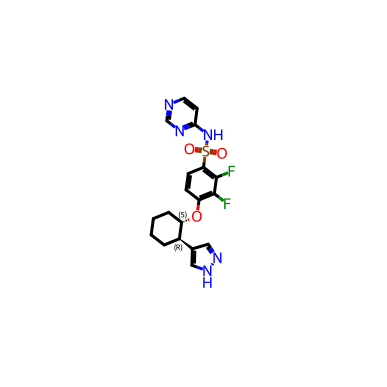 O=S(=O)(Nc1ccncn1)c1ccc(O[C@H]2CCCC[C@@H]2c2cn[nH]c2)c(F)c1F